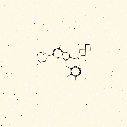 Cc1c(Cc2c(CN3CC4(CSC4)C3)nc3c(C(=O)O)cc(N4CCOCC4)nn23)cccc1C(F)(F)F